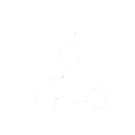 CC(C)[C@@H](C(=O)OCc1ccccc1)N(C)C(=O)N1CCN(C(=O)O)CC1